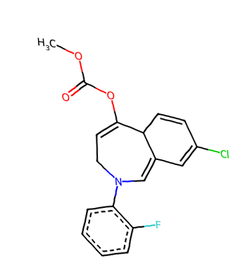 COC(=O)OC1=CCN(c2ccccc2F)C=C2C=C(Cl)C=CC21